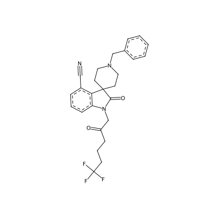 N#Cc1cccc2c1C1(CCN(Cc3ccccc3)CC1)C(=O)N2CC(=O)CCCC(F)(F)F